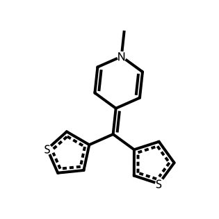 CN1C=CC(=C(c2ccsc2)c2ccsc2)C=C1